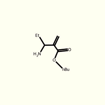 C=C(C(=O)OCCCC)C(N)CC